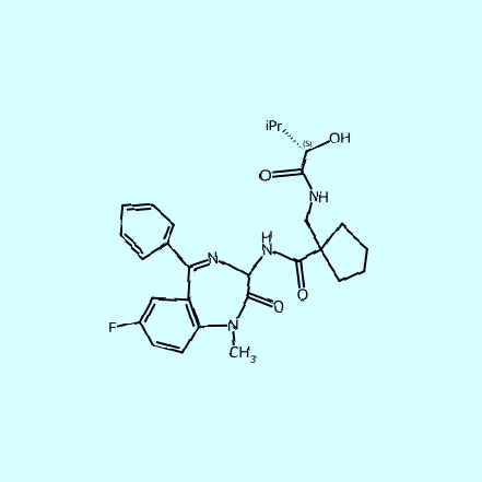 CC(C)[C@H](O)C(=O)NCC1(C(=O)NC2N=C(c3ccccc3)c3cc(F)ccc3N(C)C2=O)CCCC1